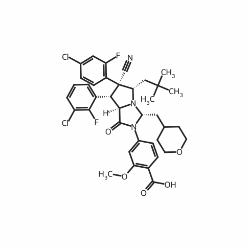 COc1cc(N2C(=O)[C@H]3[C@H](c4cccc(Cl)c4F)[C@@](C#N)(c4ccc(Cl)cc4F)[C@H](CC(C)(C)C)N3[C@@H]2CC2CCOCC2)ccc1C(=O)O